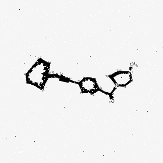 CN1CCN(C(=O)c2ccc(C#Cc3ccccc3)cc2)CC1